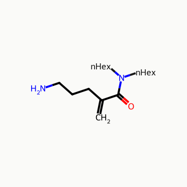 C=C(CCCN)C(=O)N(CCCCCC)CCCCCC